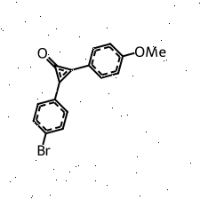 COc1ccc(-c2c(-c3ccc(Br)cc3)c2=O)cc1